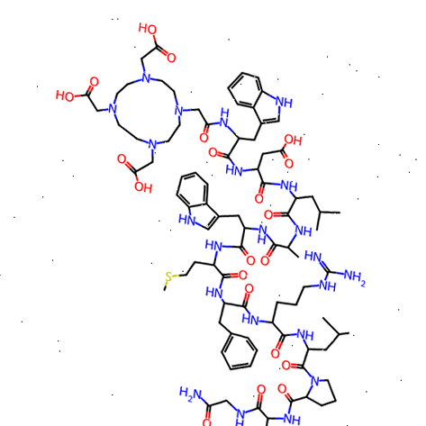 CSCCC(NC(=O)C(Cc1c[nH]c2ccccc12)NC(=O)C(C)NC(=O)C(CC(C)C)NC(=O)C(CC(=O)O)NC(=O)C(Cc1c[nH]c2ccccc12)NC(=O)CN1CCN(CC(=O)O)CCN(CC(=O)O)CCN(CC(=O)O)CC1)C(=O)NC(Cc1ccccc1)C(=O)NC(CCCNC(=N)N)C(=O)NC(CC(C)C)C(=O)N1CCCC1C(=O)NC(C(=O)NCC(N)=O)C(C)C